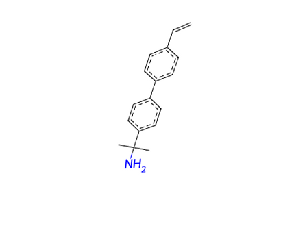 C=Cc1ccc(-c2ccc(C(C)(C)N)cc2)cc1